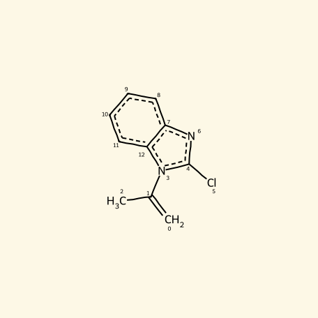 C=C(C)n1c(Cl)nc2ccccc21